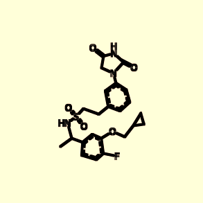 CC(NS(=O)(=O)CCc1cccc(N2CC(=O)NC2=O)c1)c1ccc(F)c(OCC2CC2)c1